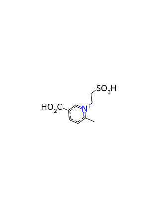 Cc1ccc(C(=O)O)c[n+]1CCS(=O)(=O)O